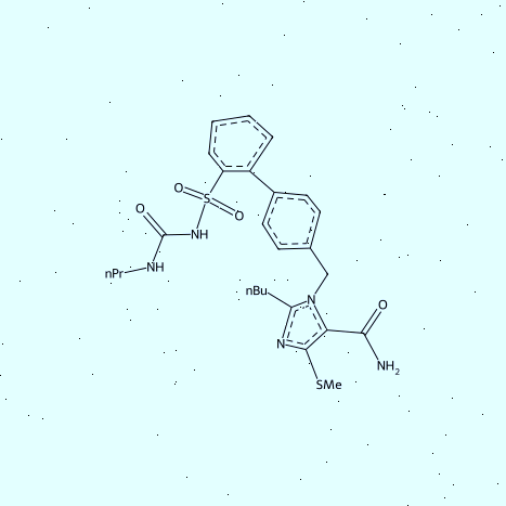 CCCCc1nc(SC)c(C(N)=O)n1Cc1ccc(-c2ccccc2S(=O)(=O)NC(=O)NCCC)cc1